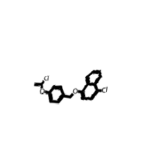 CC(Cl)Oc1ccc(COc2ccc(Cl)c3ccccc23)cc1